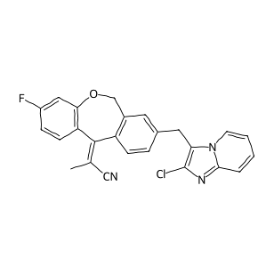 C/C(C#N)=C1/c2ccc(Cc3c(Cl)nc4ccccn34)cc2COc2cc(F)ccc21